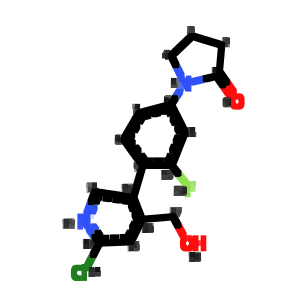 O=C1CCCN1c1ccc(-c2cnc(Cl)cc2CO)c(F)c1